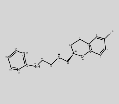 Fc1ccc2c(c1)CC[C@H](CNCCNc1ncccn1)O2